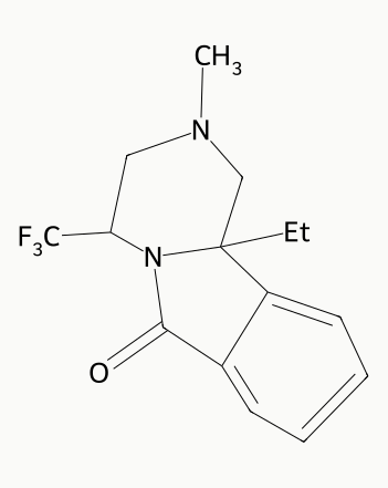 CCC12CN(C)CC(C(F)(F)F)N1C(=O)c1ccccc12